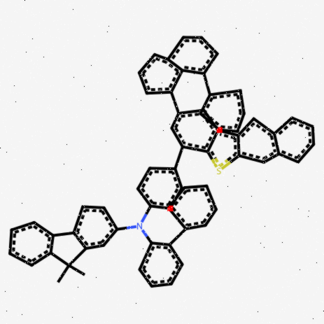 CC1(C)c2ccccc2-c2ccc(N(c3ccc(-c4cc(-c5cccc6cccc(-c7ccccc7)c56)cc5c4sc4cc6ccccc6cc45)cc3)c3ccccc3-c3ccccc3)cc21